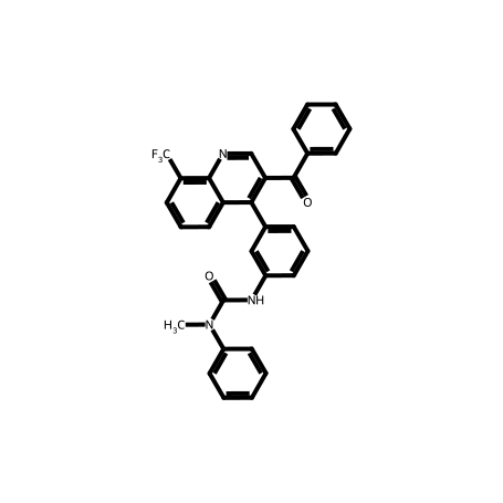 CN(C(=O)Nc1cccc(-c2c(C(=O)c3ccccc3)cnc3c(C(F)(F)F)cccc23)c1)c1ccccc1